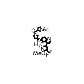 COc1ncc(-c2ccnc3ccc(OC4CCN(C(=O)C5CCN(C(C)=O)C5)C4)c(C)c23)cc1C(F)F